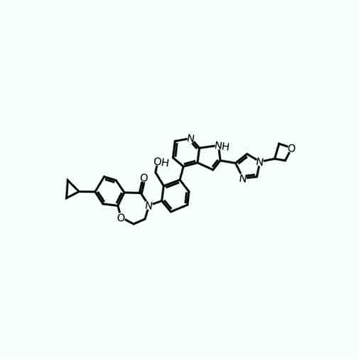 O=C1c2ccc(C3CC3)cc2OCCN1c1cccc(-c2ccnc3[nH]c(-c4cn(C5COC5)cn4)cc23)c1CO